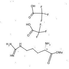 COC(=O)[C@@H](N)CCCNC(=N)N.O=C(O)C(F)(F)F.O=C(O)C(F)(F)F